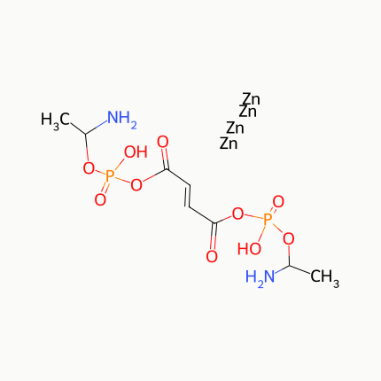 CC(N)OP(=O)(O)OC(=O)/C=C/C(=O)OP(=O)(O)OC(C)N.[Zn].[Zn].[Zn].[Zn]